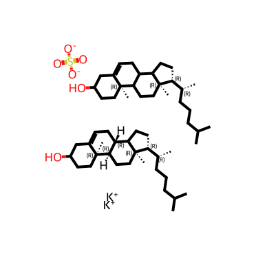 CC(C)CCC[C@@H](C)[C@H]1CCC2C3CC=C4CC(O)CC[C@]4(C)C3CC[C@@]21C.CC(C)CCC[C@@H](C)[C@H]1CCC2[C@H]3CC=C4CC(O)CC[C@]4(C)[C@@H]3CC[C@@]21C.O=S(=O)([O-])[O-].[K+].[K+]